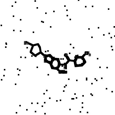 COc1cc2nn(C3CCC(C(C)C)CC3)cc2cc1NC(=O)c1cccc(C(F)(F)F)n1